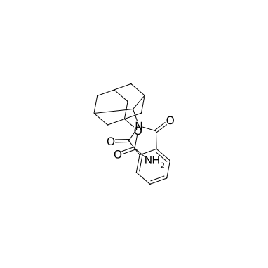 NC(=O)OC12CC3CC(C1)C(N1C(=O)c4ccccc4C1=O)C(C3)C2